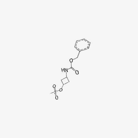 CS(=O)(=O)OC1CC(NC(=O)OCc2ccccc2)C1